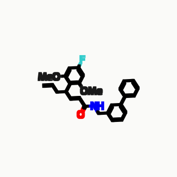 C=CCC(C=CC(=O)NCc1cccc(-c2ccccc2)c1)c1c(OC)cc(F)cc1OC